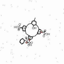 Cc1cc2c(O)c(c1)Cc1cc(S(=O)(=O)O)cc(c1O)Cc1cc(S(=O)(=O)O)cc(c1OS(=O)(=O)c1ccccc1)Cc1cc(S(=O)(=O)O)cc(c1O)C2